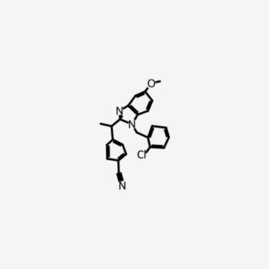 COc1ccc2c(c1)nc(C(C)c1ccc(C#N)cc1)n2Cc1ccccc1Cl